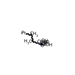 C/C(=C\C(=O)OP(=O)(O)OP(=O)(O)O)CCC[C@H](C)CCC[C@H](C)CCCC(C)C